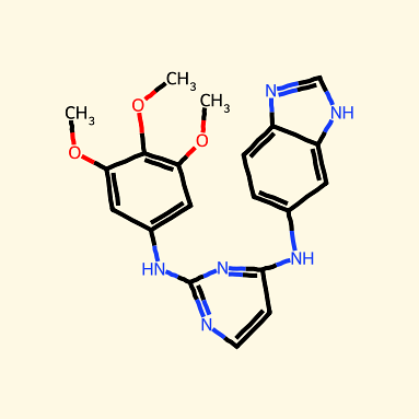 COc1cc(Nc2nccc(Nc3ccc4nc[nH]c4c3)n2)cc(OC)c1OC